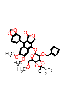 COCC1OC(Oc2c3c(c(-c4ccc5c(c4)OCO5)c4cc(OC)c(OC)cc24)C(=O)OC3)C(OCc2ccccc2)C2OC(C)(C)OC12